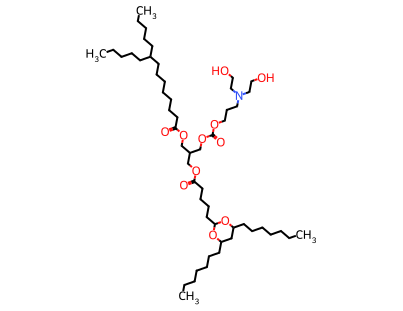 CCCCCCCC1CC(CCCCCCC)OC(CCCCC(=O)OCC(COC(=O)CCCCCCCC(CCCCC)CCCCC)COC(=O)OCCCN(CCO)CCO)O1